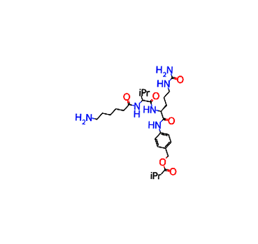 CC(C)C(=O)OCc1ccc(NC(=O)[C@H](CCCNC(N)=O)NC(=O)C(NC(=O)CCCCCN)C(C)C)cc1